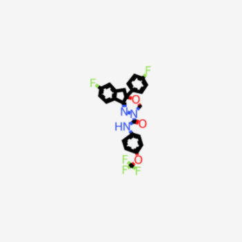 O=C(Nc1ccc(OC(F)(F)F)cc1)N1COC2(c3ccc(F)cc3)Cc3cc(F)ccc3C2=N1